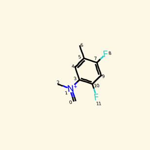 C=[N+](C)c1cc(C)c(F)cc1F